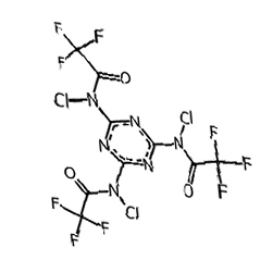 O=C(N(Cl)c1nc(N(Cl)C(=O)C(F)(F)F)nc(N(Cl)C(=O)C(F)(F)F)n1)C(F)(F)F